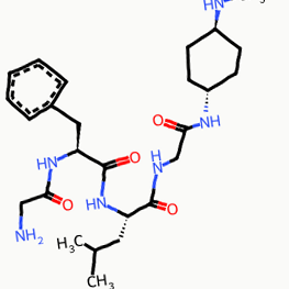 CN[C@H]1CC[C@H](NC(=O)CNC(=O)[C@H](CC(C)C)NC(=O)[C@H](Cc2ccccc2)NC(=O)CN)CC1